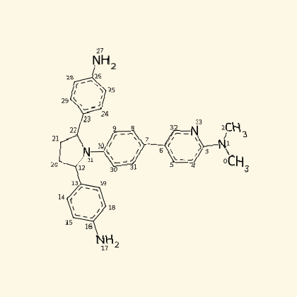 CN(C)c1ccc(-c2ccc(N3C(c4ccc(N)cc4)CCC3c3ccc(N)cc3)cc2)cn1